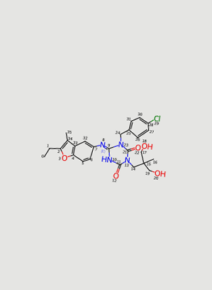 CCc1oc2ccc(/N=c3\[nH]c(=O)n(CC(C)(CO)CO)c(=O)n3Cc3ccc(Cl)cc3)cc2c1C